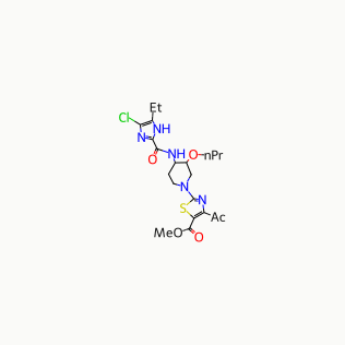 CCCOC1CN(c2nc(C(C)=O)c(C(=O)OC)s2)CCC1NC(=O)c1nc(Cl)c(CC)[nH]1